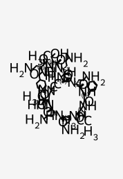 CC(C)C[C@@H]1NC(=O)[C@@H](Cc2ccccc2)NC(=O)[C@H](CCN)NC(=O)[C@@H](NC(=O)[C@H](CCN)NC(=O)[C@@H](NC(=O)[C@H](CCN)NC(=O)C2CCNCC2)C(C)O)CCNC(=O)C(C(C)O)NC(=O)[C@H](CCN)NC(=O)[C@H](CCN)NC1=O